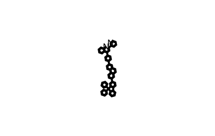 C1=CC=CC(c2cc(-c3ccc(-c4ccc5c(ccc6cc(-c7ccc8c(c7)C(c7ccccc7)(c7ccccc7)c7ccccc7-8)ccc65)c4)cc3)c3ccccc3n2)N=1